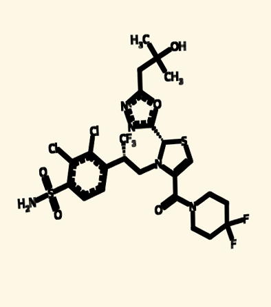 CC(C)(O)Cc1nnc([C@@H]2SC=C(C(=O)N3CCC(F)(F)CC3)N2C[C@H](c2ccc(S(N)(=O)=O)c(Cl)c2Cl)C(F)(F)F)o1